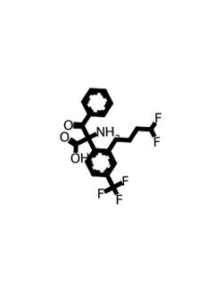 NC(C(=O)O)(C(=O)c1ccccc1)c1ccc(C(F)(F)F)cc1CCCC(F)F